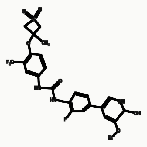 CCOC1=CC(c2ccc(NC(=O)Nc3ccc(OC4(C)CS(=O)(=O)C4)c(C(F)(F)F)c3)c(F)c2)=CNC1O